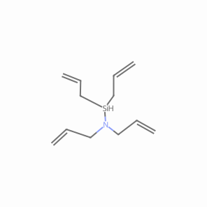 C=CCN(CC=C)[SiH](CC=C)CC=C